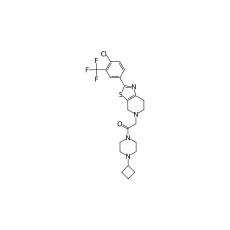 O=C(CN1CCc2nc(-c3ccc(Cl)c(C(F)(F)F)c3)sc2C1)N1CCN(C2CCC2)CC1